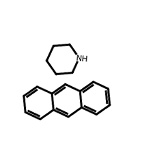 C1CCNCC1.c1ccc2cc3ccccc3cc2c1